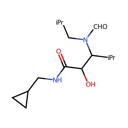 CC(C)CN(C=O)C(C(C)C)C(O)C(=O)NCC1CC1